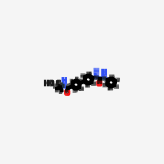 CC(C)(NC(=O)c1ccc(-c2ccc(NC(=O)Nc3ccccc3)cc2)cc1)C(=O)O